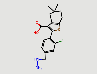 CC1(C)CCc2sc(-c3ccc(CNN)cc3F)c(C(=O)O)c2C1